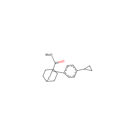 COC(=O)C12CCC(CC1)CC2c1ccc(C2CC2)cc1